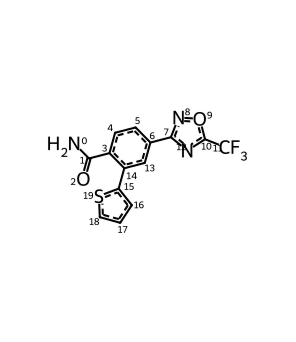 NC(=O)c1ccc(-c2noc(C(F)(F)F)n2)cc1-c1cccs1